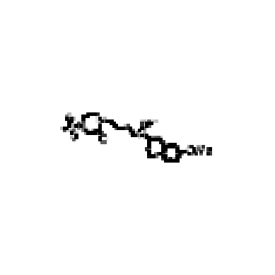 CCCN(CCCCN1CCN(S(C)(=O)=O)CC1=O)C1CCc2ccc(OC)cc2C1